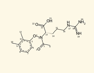 CC(=O)N(Oc1cccc(C)c1C)[C@@H](CCCNC(=N)N)C(=O)O